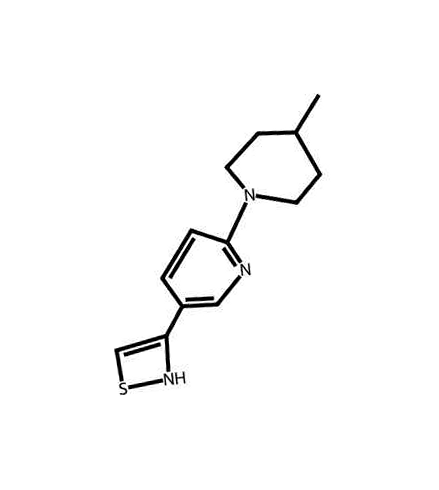 CC1CCN(c2ccc(-c3cs[nH]3)cn2)CC1